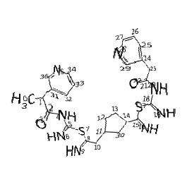 CC(C(=O)NC(=N)SC(=N)CC1CCC(C(=N)SC(=N)NC(=O)Cc2cccnc2)C1)c1cccnc1